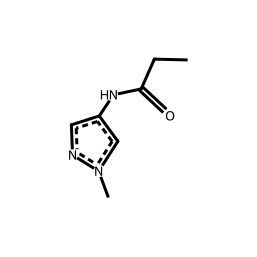 CCC(=O)Nc1cnn(C)c1